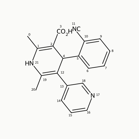 CC1=C(C(=O)O)C(c2ccccc2C#N)C(c2cccnc2)=C(C)N1